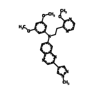 COc1cc(OC)cc(N(CCc2nccnc2OC)c2ccc3ncc(-c4cnn(C)c4)nc3c2)c1